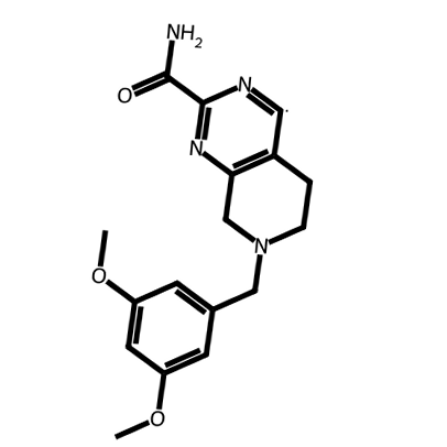 COc1cc(CN2CCc3[c]nc(C(N)=O)nc3C2)cc(OC)c1